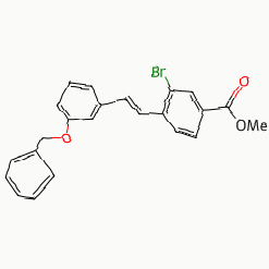 COC(=O)c1ccc(C=Cc2cccc(OCc3ccccc3)c2)c(Br)c1